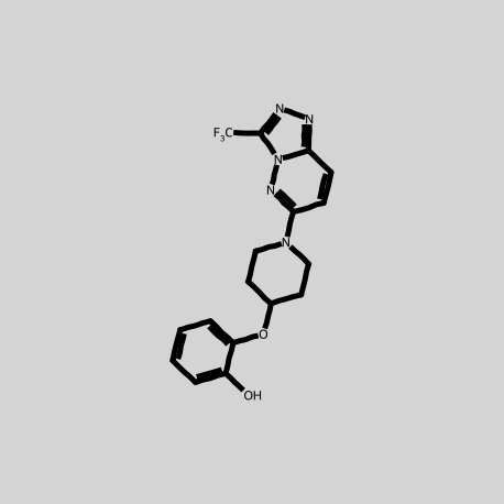 Oc1ccccc1OC1CCN(c2ccc3nnc(C(F)(F)F)n3n2)CC1